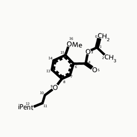 C=C(C)OC(=O)c1cc(OCCC(C)CCC)ccc1OC